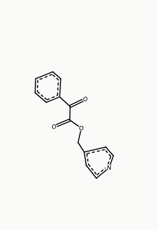 O=C(OCc1ccncc1)C(=O)c1ccccc1